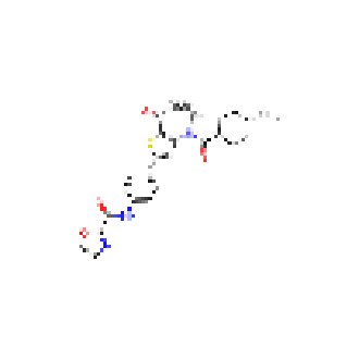 COC(=O)c1sc(-c2ccc(NC(=O)c3ncco3)cc2)cc1N(C(=O)[C@H]1CC[C@H](C)CC1)C(C)C